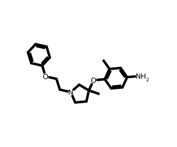 Cc1cc(N)ccc1OC1(C)CCN(CCOc2ccccc2)C1